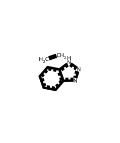 C=C.c1ccc2[nH]nnc2c1